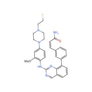 COc1cc(N2CCN(CCF)CC2)ccc1Nc1ncc2cccc(-c3cccc(C=CC(N)=O)c3)c2n1